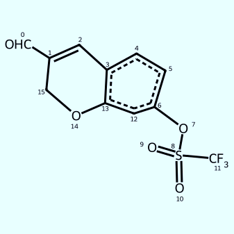 O=CC1=Cc2ccc(OS(=O)(=O)C(F)(F)F)cc2OC1